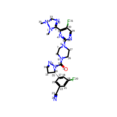 Cn1c(-c2nc(N3CCN(C(=O)N4N=CC[C@H]4c4cc(F)cc(C#N)c4)CC3)ncc2F)nc[n+]1C